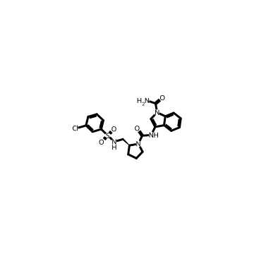 NC(=O)n1cc(NC(=O)N2CCC[C@H]2CNS(=O)(=O)c2cccc(Cl)c2)c2ccccc21